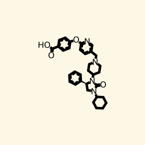 O=C(O)c1ccc(Oc2ccc(CN3CCC(N4C(=O)N(C5CCCCC5)C[C@H]4c4ccccc4)CC3)cn2)cc1